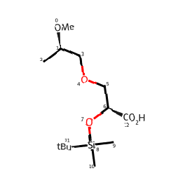 CO[C@H](C)COC[C@H](O[Si](C)(C)C(C)(C)C)C(=O)O